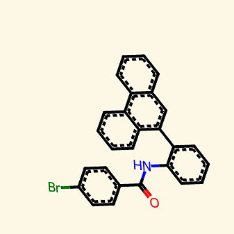 O=C(Nc1ccccc1-c1cc2ccccc2c2ccccc12)c1ccc(Br)cc1